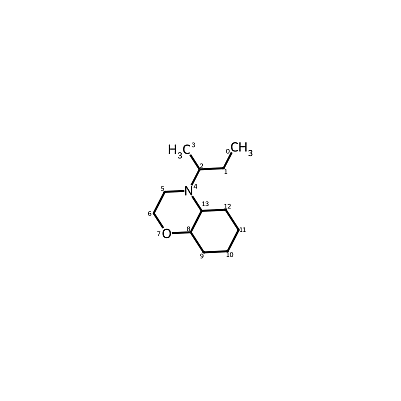 CCC(C)N1CCOC2CCCCC21